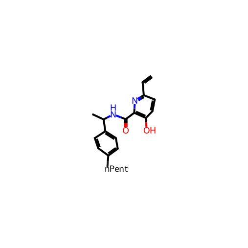 C=Cc1ccc(O)c(C(=O)NC(C)c2ccc(CCCCC)cc2)n1